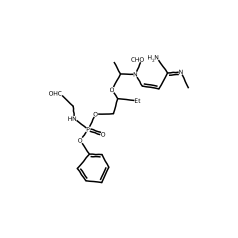 CCC(COP(=O)(NCC=O)Oc1ccccc1)OC(C)N(C=O)/C=C\C(N)=N/C